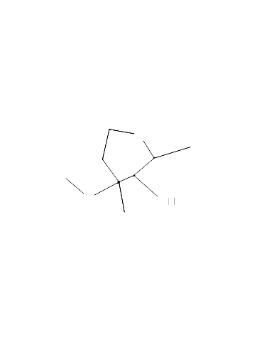 COC1(C)CCOC(C)C1O